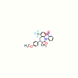 COc1ccc(C2Cc3c(cccc3C(F)(F)F)N(c3ccccc3[N+](=O)[O-])C(=O)C2C)cc1